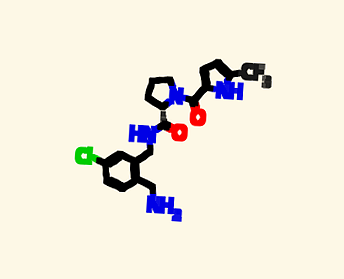 NCc1ccc(Cl)cc1CNC(=O)[C@@H]1CCCN1C(=O)c1ccc(C(F)(F)F)[nH]1